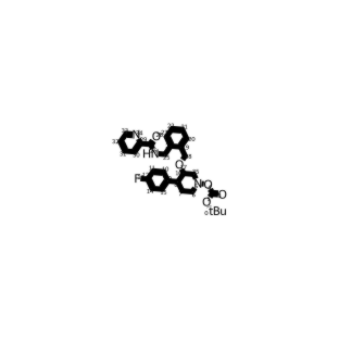 CC(C)(C)OC(=O)ON1CCC(c2ccc(F)cc2)C(OCc2ccccc2CNC(=O)c2ccccn2)C1